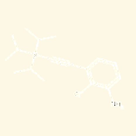 CC(C)[Si](C#Cc1cccc(N)c1Cl)(C(C)C)C(C)C